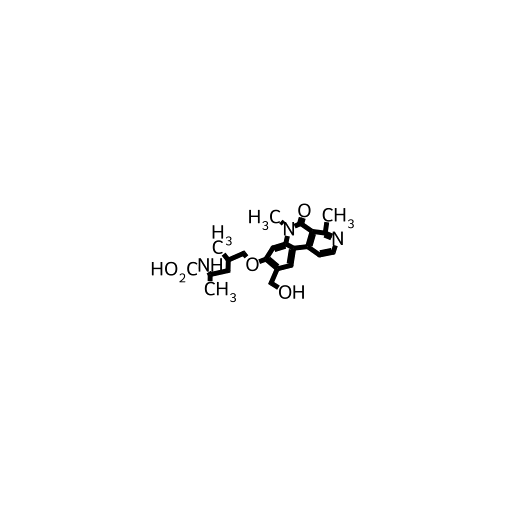 Cc1nccc2c1c(=O)n(C)c1cc(OCC(C)CC(C)NC(=O)O)c(CO)cc21